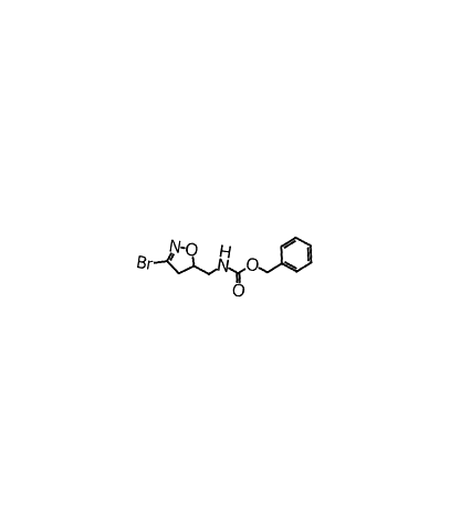 O=C(NCC1CC(Br)=NO1)OCc1ccccc1